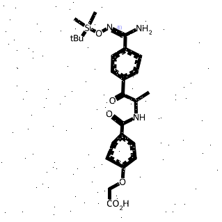 CC(NC(=O)c1ccc(OCC(=O)O)cc1)C(=O)c1ccc(/C(N)=N\O[Si](C)(C)C(C)(C)C)cc1